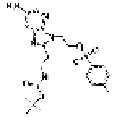 Bc1cnc2c(c1)nc(CCNC(=O)OC(C)(C)C)n2CCOS(=O)(=O)c1ccc(C)cc1